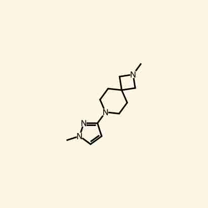 CN1CC2(CCN(c3ccn(C)n3)CC2)C1